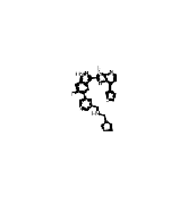 Fc1cc2[nH]nc(-c3nc4c(-c5ccsc5)ccnc4[nH]3)c2cc1-c1cncc(CNCC2CCCC2)c1